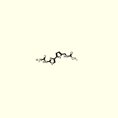 CC(=O)NCc1ccc(-c2csc(NC(N)=S)n2)s1